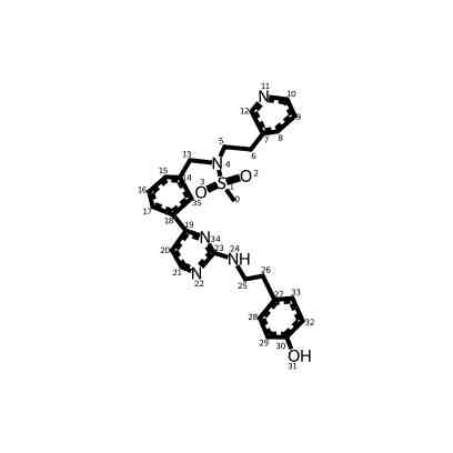 CS(=O)(=O)N(CCc1cccnc1)Cc1cccc(-c2ccnc(NCCc3ccc(O)cc3)n2)c1